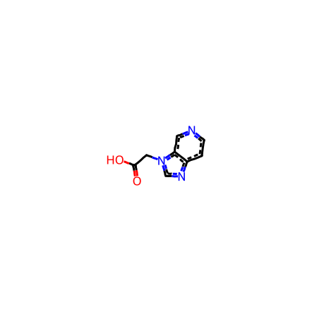 O=C(O)Cn1cnc2ccncc21